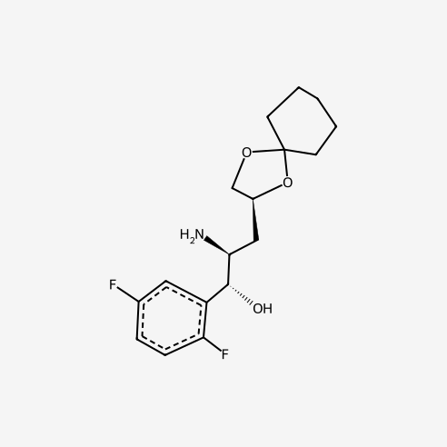 N[C@@H](C[C@H]1COC2(CCCCC2)O1)[C@H](O)c1cc(F)ccc1F